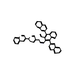 C=Cc1c(/C=C\CC2=CCC(c3cnc4ccccc4c3)N=C2)c(-c2ccc3ccccc3c2)c2ccccc2c1-c1ccc2ccccc2c1